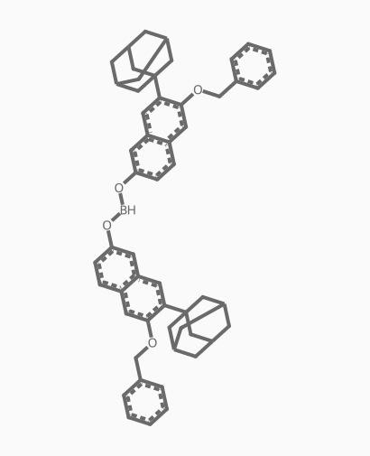 B(Oc1ccc2cc(OCc3ccccc3)c(C34CC5CC(CC(C5)C3)C4)cc2c1)Oc1ccc2cc(OCc3ccccc3)c(C34CC5CC(CC(C5)C3)C4)cc2c1